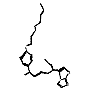 CCCCCCCCOc1ccc(C(C)CCCC(CC)c2csc3nccn23)cc1